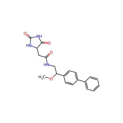 COC(CNC(=O)CC1NC(=O)NC1=O)c1ccc(-c2ccccc2)cc1